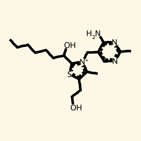 CCCCCCC(O)c1sc(CCO)c(C)[n+]1Cc1cnc(C)nc1N